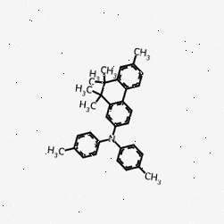 Cc1ccc(N(c2ccc(C)cc2)c2ccc3c(c2)C(C)(C)C(C)(C)c2cc(C)ccc2-3)cc1